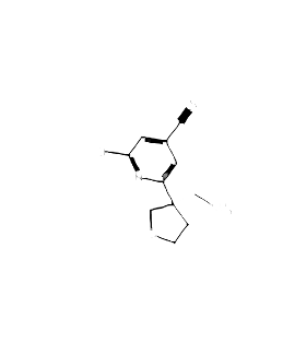 CC[C@]1(c2cc(C#N)cc(Cl)n2)CCOC1